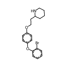 Brc1ccccc1Oc1ccc(OCCC2CCCCN2)cc1